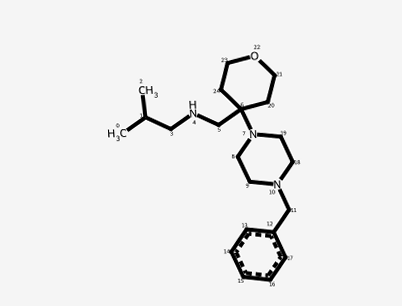 CC(C)CNCC1(N2CCN(Cc3ccccc3)CC2)CCOCC1